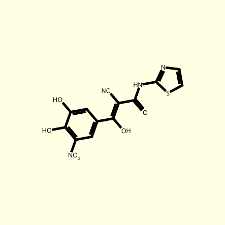 N#C/C(C(=O)Nc1nccs1)=C(/O)c1cc(O)c(O)c([N+](=O)[O-])c1